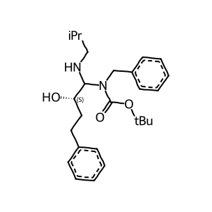 CC(C)CNC([C@@H](O)CCc1ccccc1)N(Cc1ccccc1)C(=O)OC(C)(C)C